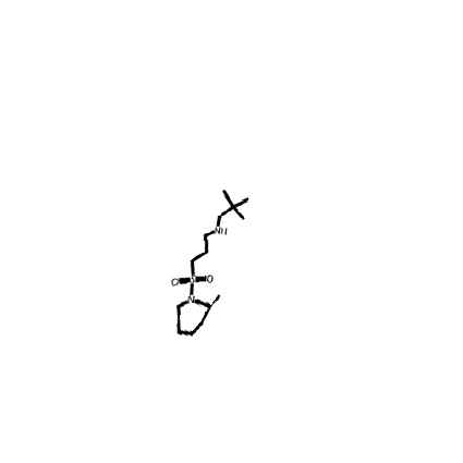 C[C@H]1CCCCN1S(=O)(=O)CCCNCC(C)(C)C